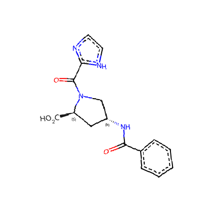 O=C(N[C@@H]1C[C@@H](C(=O)O)N(C(=O)c2ncc[nH]2)C1)c1ccccc1